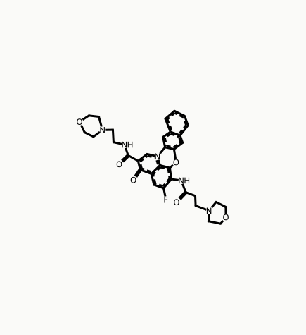 O=C(CCN1CCOCC1)Nc1c(F)cc2c(=O)c(C(=O)NCCN3CCOCC3)cn3c2c1Oc1cc2ccccc2cc1-3